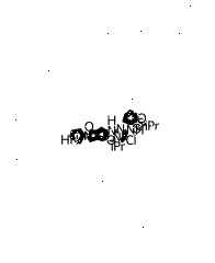 CC(C)Oc1cc2c(cc1Nc1ncc(Cl)c(Nc3ccccc3S(=O)(=O)C(C)C)n1)C(=O)N([C@H]1CCCNC1)C2